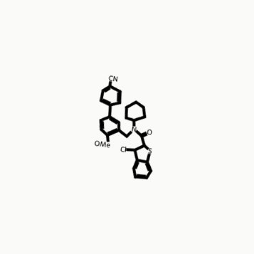 COc1ccc(-c2ccc(C#N)cc2)cc1CN(C(=O)C1Sc2ccccc2C1Cl)C1CCCCC1